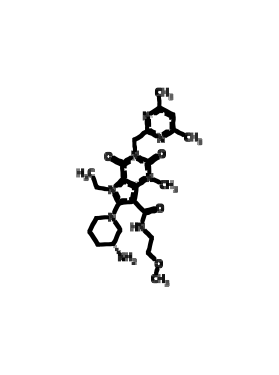 CCn1c(N2CCC[C@@H](N)C2)c(C(=O)NCCOC)c2c1c(=O)n(Cc1nc(C)cc(C)n1)c(=O)n2C